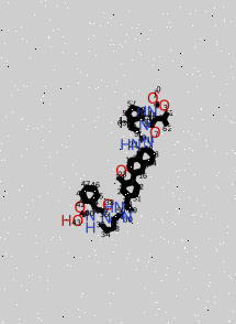 COC(=O)NC(C(=O)N1[C@H](c2nc3ccc4cc5c(cc4c3[nH]2)OCc2cc(-c3cnc(C4CCCN4C(=O)C(NC(=O)O)c4ccccc4)[nH]3)ccc2-5)C[C@@H]2CCC[C@@H]21)C(C)C